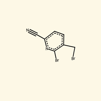 N#Cc1ccc(CBr)c(Br)n1